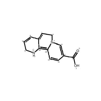 O=C(O)C1=CN2CC=C3C=CCNC3=C2C=C1